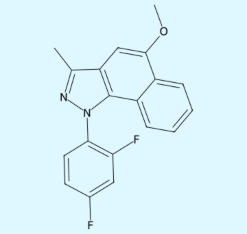 COc1cc2c(C)nn(-c3ccc(F)cc3F)c2c2ccccc12